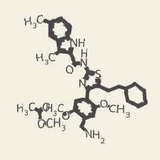 COC(C)=O.COc1cc(-c2nc(NC(=O)c3[nH]c4ccc(C)cc4c3C)sc2CCC2CCCCC2)c(OC)cc1CN